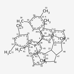 Cc1cc(C)cc(P(c2cc(C)cc(C)c2)c2cccc3c2C2c4c(cccc4P(c4cc(C)cc(C)c4)c4cc(C)cc(C)c4)CC2C3)c1